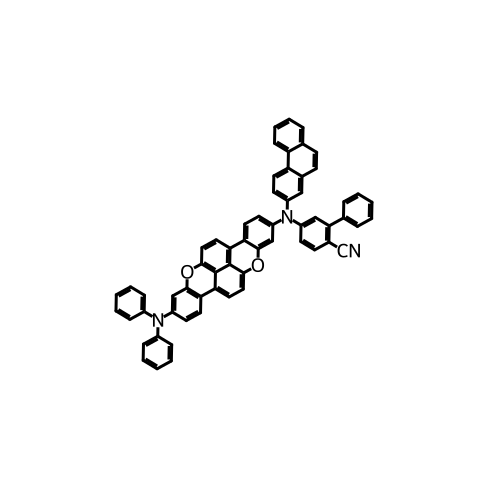 N#Cc1ccc(N(c2ccc3c(c2)Oc2ccc4c5c(ccc-3c25)Oc2cc(N(c3ccccc3)c3ccccc3)ccc2-4)c2ccc3c(ccc4ccccc43)c2)cc1-c1ccccc1